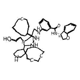 O=C(N[C@H]1COc2ccccc21)c1cccc(NCC2(C3CCCCCCCC3)NNC(C3CCNCC34CCCCCCCC4)N2CCO)c1